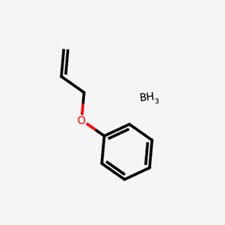 B.C=CCOc1ccccc1